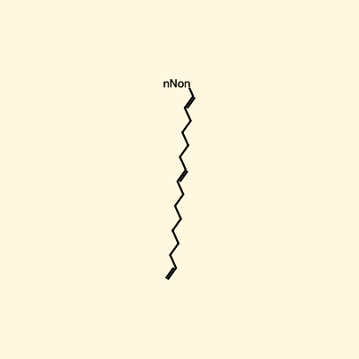 C=CCCCCCCC=CCCCCC=CCCCCCCCCC